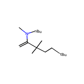 C=C(N(C)CCCC)C(C)(C)CCC(C)(C)C